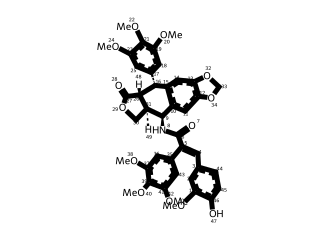 COc1cc(/C=C(/C(=O)N[C@@H]2c3cc4c(cc3[C@@H](c3cc(OC)c(OC)c(OC)c3)[C@H]3C(=O)OC[C@@H]32)OCO4)c2cc(OC)c(OC)c(OC)c2)ccc1O